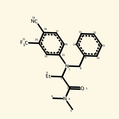 CCC(C(=O)N(C)C)N(Cc1ccccc1)c1ccc(C#N)c(C(F)(F)F)c1